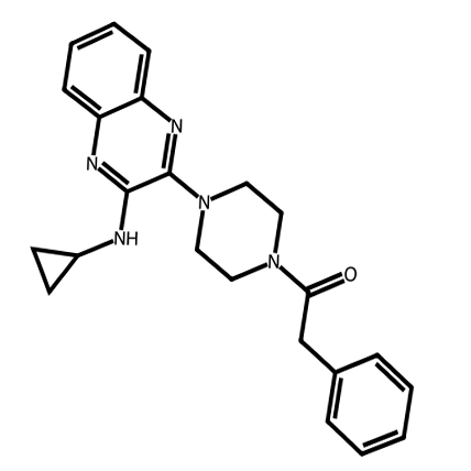 O=C(Cc1ccccc1)N1CCN(c2nc3ccccc3nc2NC2CC2)CC1